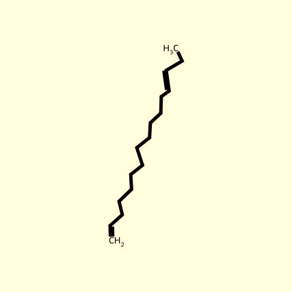 C=CCCCCCCCCCCC=CCC